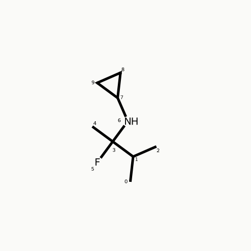 CC(C)C(C)(F)NC1CC1